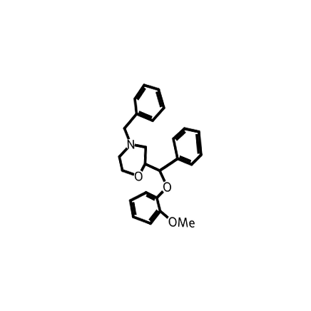 COc1ccccc1OC(c1ccccc1)C1CN(Cc2ccccc2)CCO1